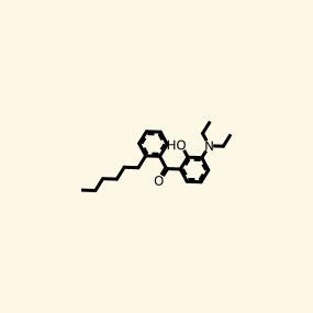 CCCCCCc1ccccc1C(=O)c1cccc(N(CC)CC)c1O